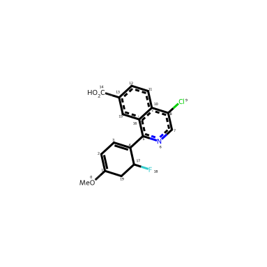 COC1=CC=C(c2ncc(Cl)c3ccc(C(=O)O)cc23)C(F)C1